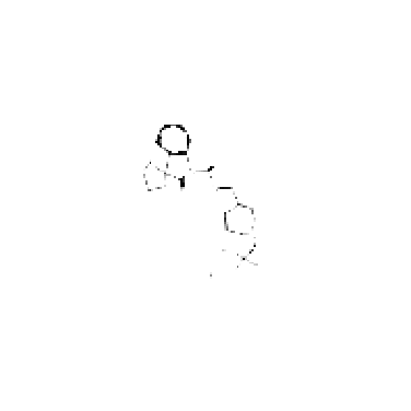 CCC(CC)(CN1CCC(CNC(=O)N2C(=O)C3(CCCC3)c3ccccc32)CC1)C(=O)O